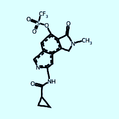 CN1Cc2c(c(OS(=O)(=O)C(F)(F)F)cc3cnc(NC(=O)C4CC4)cc23)C1=O